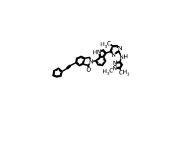 Cc1cnc(Nc2cc(C)n(C)n2)nc1-c1c[nH]c2c(N3Cc4ccc(C#Cc5ccccc5)cc4C3=O)cccc12